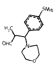 CSc1ccc(C(C(C)C=O)N2CCOCC2)cc1